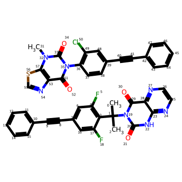 CC(C)(c1c(F)cc(C#Cc2ccccc2)cc1F)n1c(=O)[nH]c2nccnc2c1=O.Cn1c(=O)n(-c2ccc(C#Cc3ccccc3)cc2Cl)c(=O)c2ncsc21